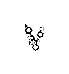 Fc1ccc(-c2cc3/c(=N\c4ccc(Cl)cc4)n4c(nc3o2)CCCC4)cc1